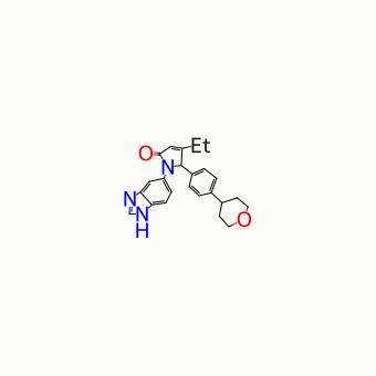 CCC1=CC(=O)N(c2ccc3[nH]cnc3c2)C1c1ccc(C2CCOCC2)cc1